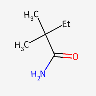 [CH2]CC(C)(C)C(N)=O